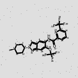 C[C@H]1CC[C@H](n2cc3cc(NC(=O)c4cccc(C(F)(F)F)n4)c(OC(F)(F)F)cc3n2)CC1